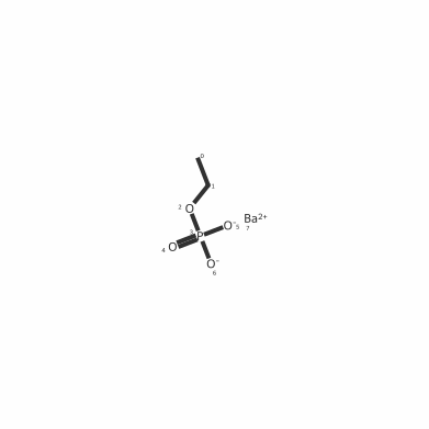 CCOP(=O)([O-])[O-].[Ba+2]